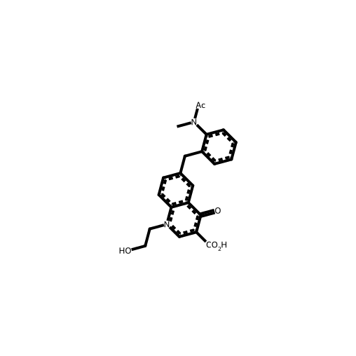 CC(=O)N(C)c1ccccc1Cc1ccc2c(c1)c(=O)c(C(=O)O)cn2CCO